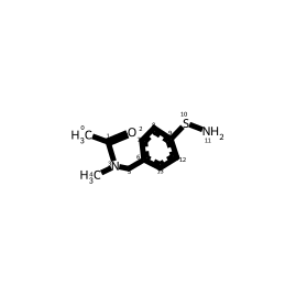 CC(=O)N(C)Cc1ccc(SN)cc1